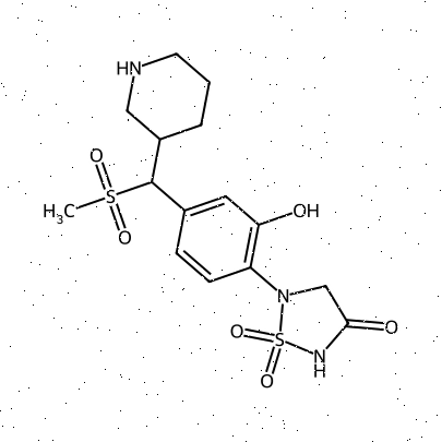 CS(=O)(=O)C(c1ccc(N2CC(=O)NS2(=O)=O)c(O)c1)C1CCCNC1